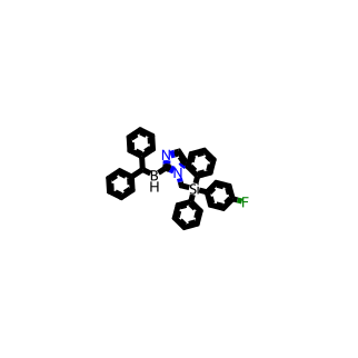 Fc1ccc([Si](Cn2ccnc2BC(c2ccccc2)c2ccccc2)(c2ccccc2)c2ccccc2)cc1